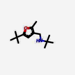 Cc1oc(C(C)(C)C)cc1CNC(C)(C)C